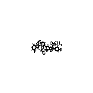 CNC(=O)c1c(-c2ccc(F)cc2)oc2cc(N3CCC3=O)c(-c3ccc4c(n3)-c3cc5c(F)cccc5n3CO4)cc12